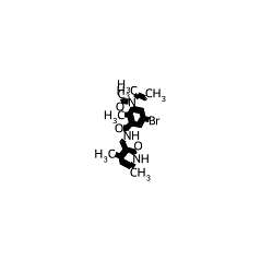 CCC(C)N(C(C)=O)c1cc(Br)cc(C(=O)NCc2c(C)cc(C)[nH]c2=O)c1C